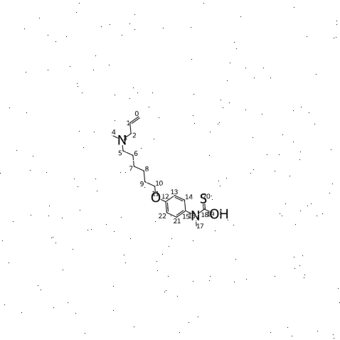 C=CCN(C)CCCCCCOc1ccc(N(C)C(O)=S)cc1